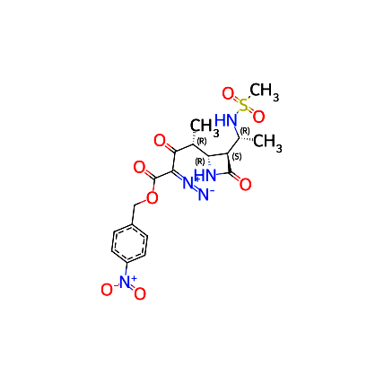 C[C@@H](NS(C)(=O)=O)[C@H]1C(=O)N[C@@H]1[C@@H](C)C(=O)C(=[N+]=[N-])C(=O)OCc1ccc([N+](=O)[O-])cc1